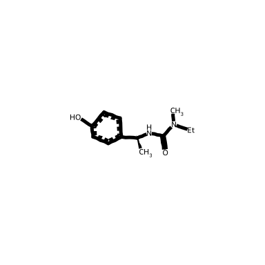 CCN(C)C(=O)N[C@@H](C)c1ccc(O)cc1